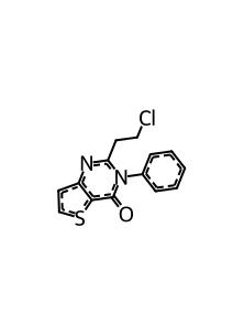 O=c1c2sccc2nc(CCCl)n1-c1ccccc1